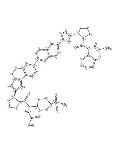 COC(=O)N[C@H](C(=O)N1CCC[C@H]1c1nc2c([nH]1)-c1ccc(-c3ccc4cc(-c5cnc([C@@H]6CCCN6C(=O)[C@H](NC(=O)OC)c6ccccc6)[nH]5)ccc4c3)cc1CC2)C1CCN(S(C)(=O)=O)CC1